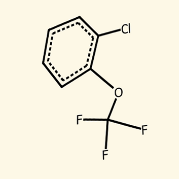 FC(F)(F)Oc1ccccc1Cl